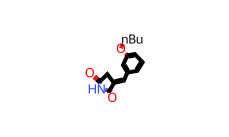 CCCCOc1cccc(/C=C2\CC(=O)NC2=O)c1